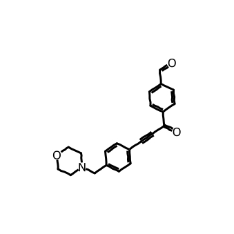 O=Cc1ccc(C(=O)C#Cc2ccc(CN3CCOCC3)cc2)cc1